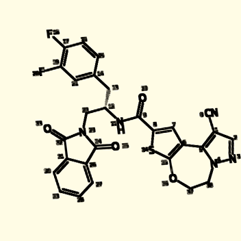 N#Cc1cnn2c1-c1cc(C(=O)N[C@@H](Cc3ccc(F)c(F)c3)CN3C(=O)c4ccccc4C3=O)sc1OCC2